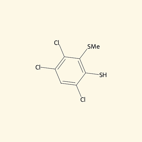 CSc1c(S)c(Cl)cc(Cl)c1Cl